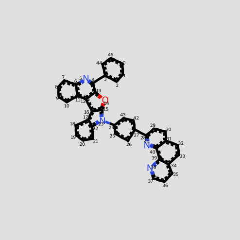 c1ccc(-c2nc3ccccc3c3c2oc2c3c3ccccc3n2-c2ccc(-c3ccc4ccc5cccnc5c4n3)cc2)cc1